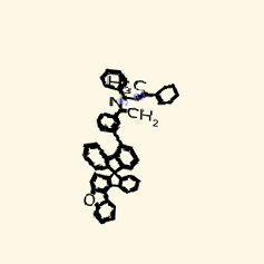 C=C(/N=C(\C=C(/C)C1=CC=CCC1)c1ccccc1)c1cccc(-c2cccc3c2-c2ccccc2C32c3ccccc3-c3c2ccc2oc4ccccc4c32)c1